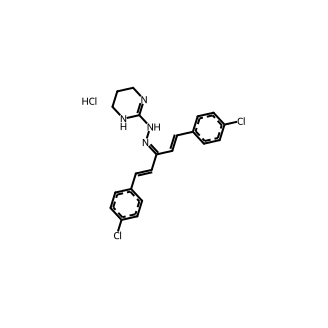 Cl.Clc1ccc(/C=C/C(/C=C/c2ccc(Cl)cc2)=NNC2=NCCCN2)cc1